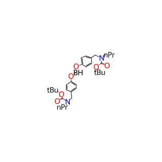 CCCN(Cc1ccc(OBOc2ccc(CN(CCC)C(=O)OC(C)(C)C)cc2)cc1)C(=O)OC(C)(C)C